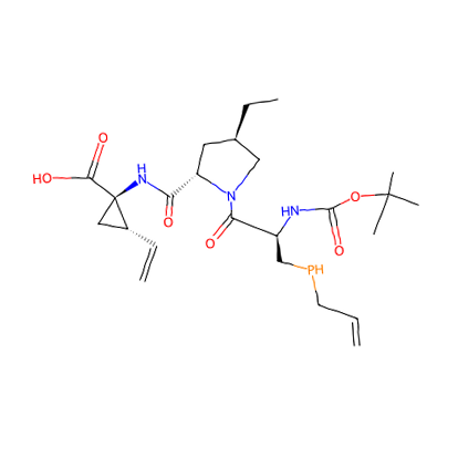 C=CCPC[C@H](NC(=O)OC(C)(C)C)C(=O)N1C[C@H](CC)C[C@H]1C(=O)N[C@]1(C(=O)O)C[C@H]1C=C